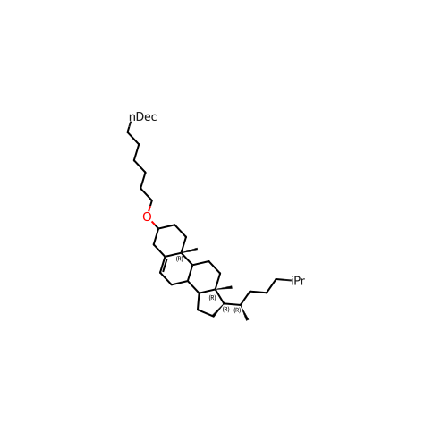 CCCCCCCCCCCCCCCCOC1CC[C@@]2(C)C(=CCC3C2CC[C@@]2(C)C3CC[C@@H]2[C@H](C)CCCC(C)C)C1